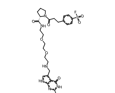 Nc1nc2[nH]cc(CNCCOCCOCCNC(=O)[C@@H]3CCCN3C(=O)CCc3ccc(S(=O)(=O)F)cc3)c2c(=O)[nH]1